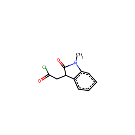 CN1C(=O)C(CC(=O)Cl)c2ccccc21